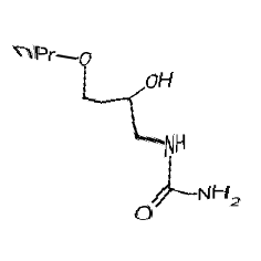 CCCOCC(O)CNC(N)=O